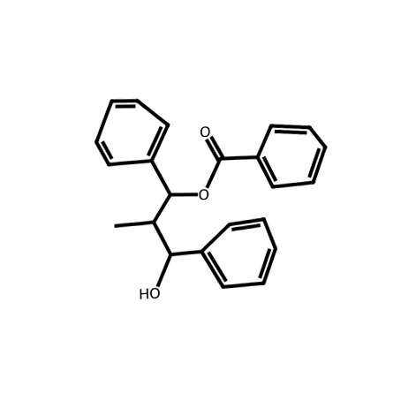 CC(C(O)c1ccccc1)C(OC(=O)c1ccccc1)c1ccccc1